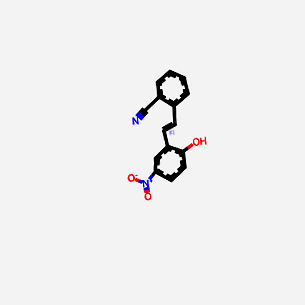 N#Cc1ccccc1/C=C/c1cc([N+](=O)[O-])ccc1O